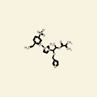 C=C(C)C(=O)OC(C)C(OCc1ccoc1)n1cc[n+](C)c1.C=Cc1ccc(S(=O)(=O)[O-])cc1